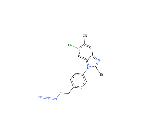 CCc1nc2cc(C#N)c(Cl)cc2n1-c1ccc(CCN=[N+]=[N-])cc1